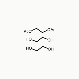 CC(=O)OCCOC(C)=O.OCCO.OCCO